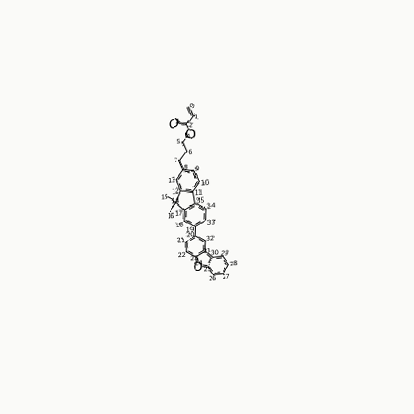 C=CC(=O)OCCCc1ccc2c(c1)C(C)(C)c1cc(-c3ccc4oc5ccccc5c4c3)ccc1-2